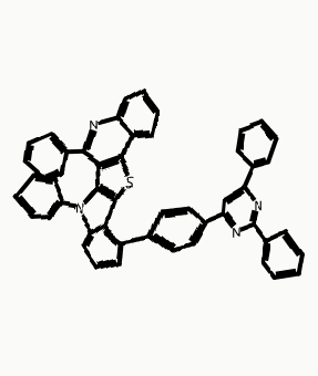 c1ccc(-c2cc(-c3ccc(-c4cccc5c4c4sc6c7ccccc7nc(-c7ccccc7)c6c4n5-c4ccccc4)cc3)nc(-c3ccccc3)n2)cc1